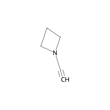 C#CN1CCC1